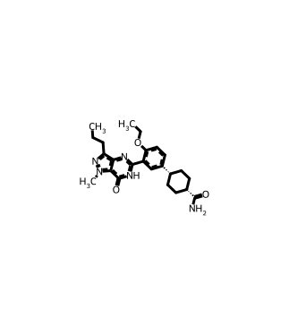 CCCc1nn(C)c2c(=O)[nH]c(-c3cc([C@H]4CC[C@@H](C(N)=O)CC4)ccc3OCC)nc12